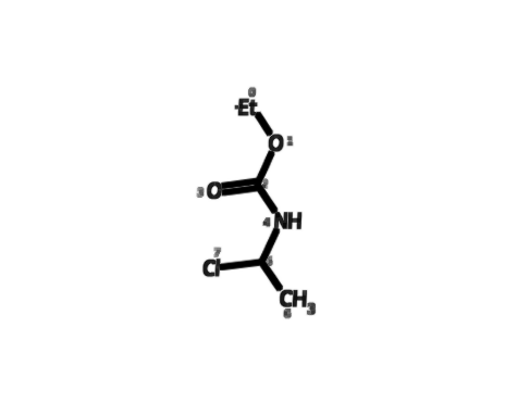 C[CH]OC(=O)NC(C)Cl